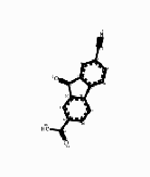 N#Cc1ccc2c(c1)C(=O)c1cc(C(=O)O)ccc1-2